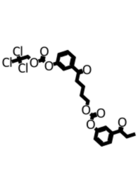 CCC(=O)c1cccc(OC(=O)OCCCCC(=O)c2cccc(OC(=O)OCC(Cl)(Cl)Cl)c2)c1